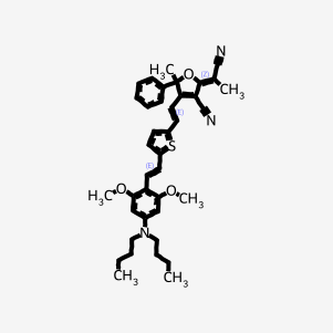 CCCCN(CCCC)c1cc(OC)c(/C=C/c2ccc(/C=C/C3=C(C#N)C(=C(\C)C#N)/OC3(C)c3ccccc3)s2)c(OC)c1